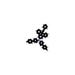 Cc1ccc(-c2ccc(N(c3ccc(-c4ccc(C)cc4)cc3)c3ccc4c(c3)-c3ccccc3C4(C#CC3C=CC=CC3)c3ccccc3)cc2)cc1